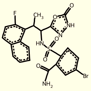 CC(c1c(F)ccc2ccccc12)C(NS(=O)(=O)c1ccc(Br)cc1C(N)=O)c1n[nH]c(=O)o1